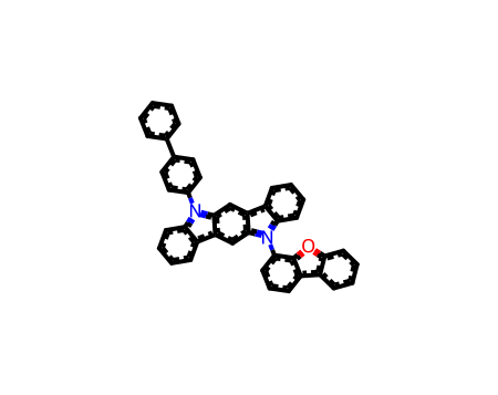 c1ccc(-c2ccc(-n3c4ccccc4c4cc5c(cc43)c3ccccc3n5-c3cccc4c3oc3ccccc34)cc2)cc1